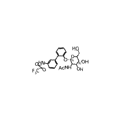 CC(=O)NC1C(O)[C@@H](O)C(CO)O[C@H]1Oc1ccccc1-c1cccc(NS(=O)(=O)C(F)(F)F)c1